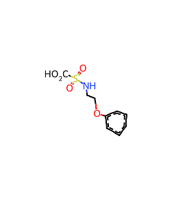 O=C(O)S(=O)(=O)NCCOc1ccccc1